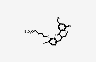 CCOC(=O)CCCCOc1cc(CC2COc3c(Br)cc(CBr)cc3C2=O)ccc1Cl